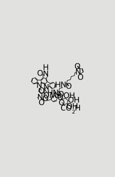 COC1C(N(C)C(=O)OCc2ccc(OC3OC(C(=O)O)C(O)C(O)C3O)c(NC(=O)CCNC(=O)CCCCCN3C(=O)C=CC3=O)c2)CC2OC1(C)n1c3ccccc3c3c4c(c5c6ccccc6n2c5c31)C(=O)NC4